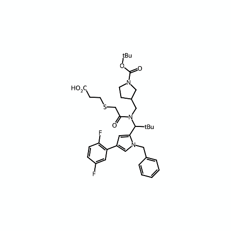 CC(C)(C)OC(=O)N1CCC(CN(C(=O)CSCCC(=O)O)C(c2cc(-c3cc(F)ccc3F)cn2Cc2ccccc2)C(C)(C)C)C1